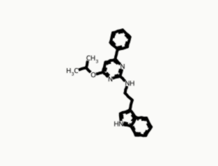 CC(C)Oc1cc(-c2ccccc2)nc(NCCc2c[nH]c3ccccc23)n1